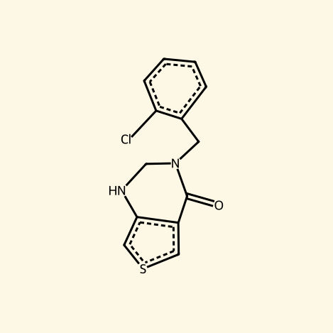 O=C1c2cscc2NCN1Cc1ccccc1Cl